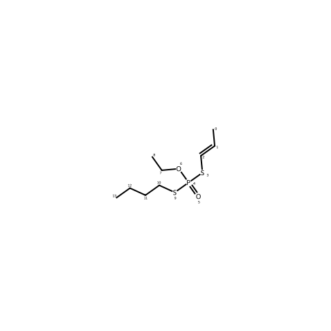 CC=CSP(=O)(OCC)SCCCC